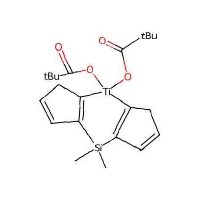 CC(C)(C)C(=O)[O][Ti]1([O]C(=O)C(C)(C)C)[C]2=C(C=CC2)[Si](C)(C)C2=[C]1CC=C2